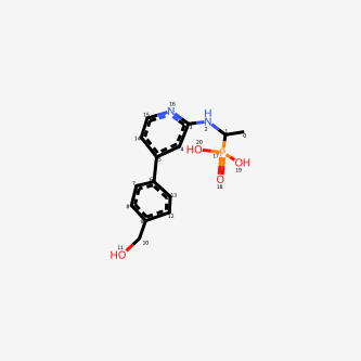 CC(Nc1cc(-c2ccc(CO)cc2)ccn1)P(=O)(O)O